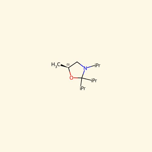 CC(C)N1C[C@H](C)OC1(C(C)C)C(C)C